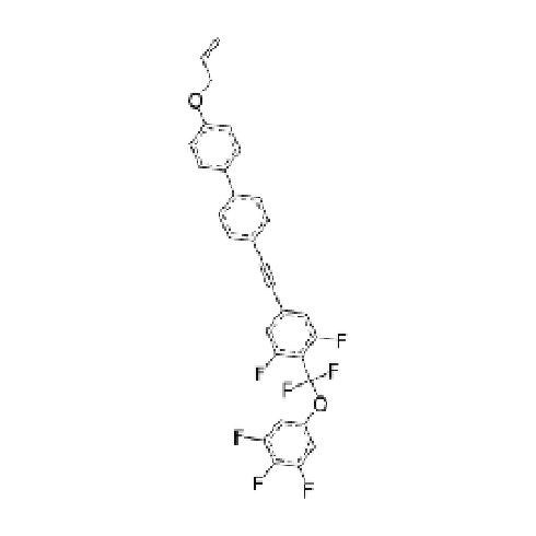 C=CCOc1ccc(-c2ccc(C#Cc3cc(F)c(C(F)(F)Oc4cc(F)c(F)c(F)c4)c(F)c3)cc2)cc1